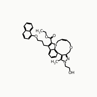 CCOC(=O)c1c(CCCOc2cccc3ccccc23)c2cccc3c2n1C/C=C\COCc1nn(CCO)c(C)c1-3